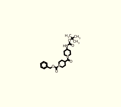 CC(C)(C)OC(=O)NC1CCN(C(=O)C2CCN(C(=O)OCc3ccccc3)CC2)CC1